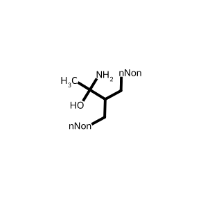 CCCCCCCCCCC(CCCCCCCCCC)C(C)(N)O